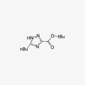 CCCCc1nc(C(=O)OC(C)(C)C)n[nH]1